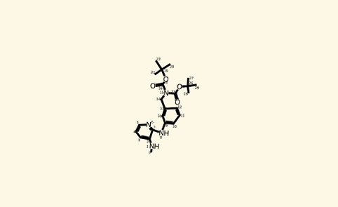 CNc1cccnc1Nc1cccc(CN(C(=O)OC(C)(C)C)C(=O)OC(C)(C)C)c1